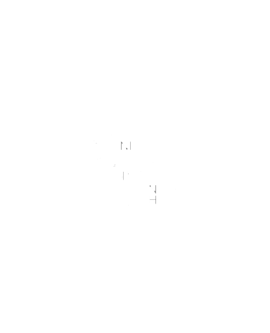 C=C(C)P(c1ccc[nH]1)c1ccc[nH]1